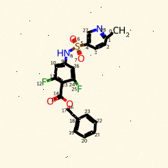 [CH2]c1ccc(S(=O)(=O)Nc2cc(F)c(C(=O)OCc3ccccc3)c(F)c2)cn1